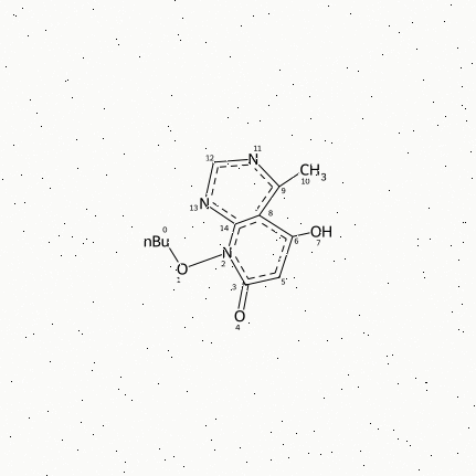 CCCCOn1c(=O)cc(O)c2c(C)ncnc21